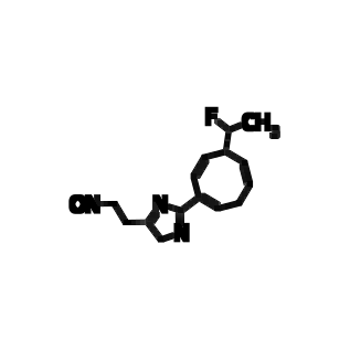 CC(F)C1/C=C\C/C=C(C2=NCC(CCN=O)=N2)\C=C/1